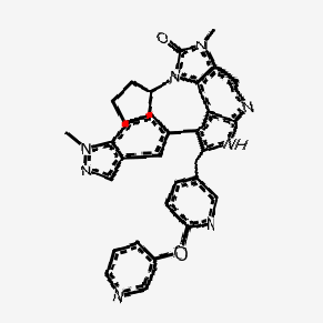 Cn1ncc2cc(-c3c(-c4ccc(Oc5cccnc5)nc4)[nH]c4ncc5c(c34)n(C3CCCC3)c(=O)n5C)ccc21